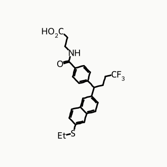 CCSc1ccc2cc(C(CCC(F)(F)F)c3ccc(C(=O)NCCC(=O)O)cc3)ccc2c1